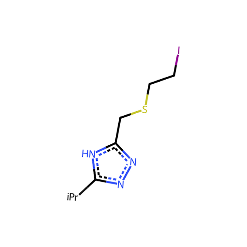 CC(C)c1nnc(CSCCI)[nH]1